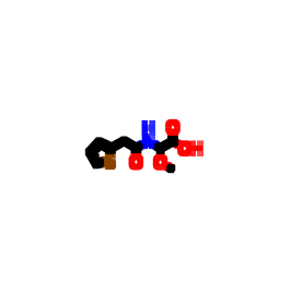 COC(NC(=O)Cc1cccs1)C(=O)O